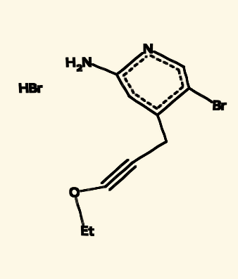 Br.CCOC#CCc1cc(N)ncc1Br